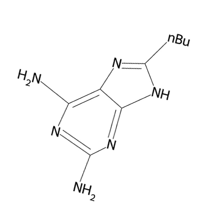 CCCCc1nc2c(N)nc(N)nc2[nH]1